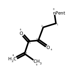 [CH2]CCCCCCC(=O)C(=O)C(=C)C